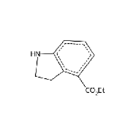 CCOC(=O)c1cccc2c1CCN2